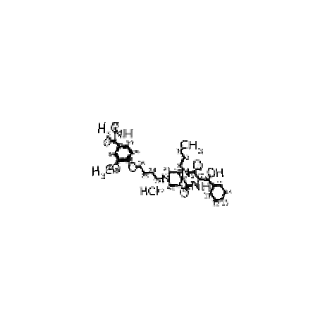 CCCCN1C(=O)[C@@H]([C@H](O)C2CCCCC2)NC(=O)C12CCN(CCCCOc1ccc(C(=O)NC)cc1OC)CC2.Cl